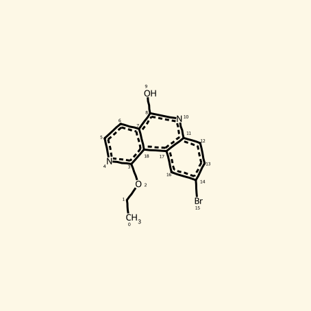 CCOc1nccc2c(O)nc3ccc(Br)cc3c12